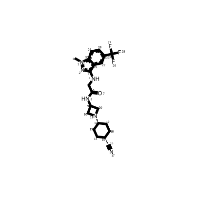 Cn1nc(NCC(=O)NC2CN([C@H]3CC[C@@H](C#N)CC3)C2)c2cc(C(F)(F)F)ccc21